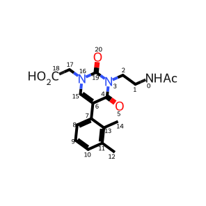 CC(=O)NCCn1c(=O)c(-c2cccc(C)c2C)cn(CC(=O)O)c1=O